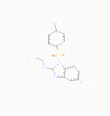 CCNc1nc2cc(C)ccc2n1S(=O)(=O)c1ccc(C)cc1